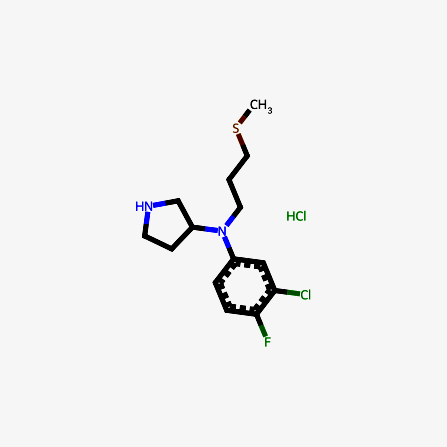 CSCCCN(c1ccc(F)c(Cl)c1)C1CCNC1.Cl